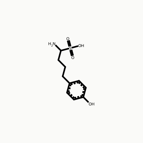 NC(CCCc1ccc(O)cc1)S(=O)(=O)O